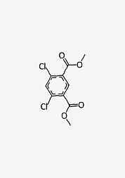 COC(=O)c1cc(C(=O)OC)c(Cl)cc1Cl